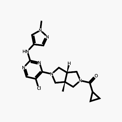 Cn1cc(Nc2ncc(Cl)c(N3C[C@@H]4CN(C(=O)C5CC5)C[C@]4(C)C3)n2)cn1